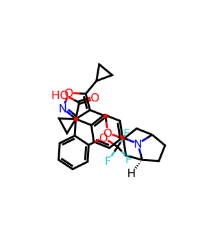 O=C(O)C1(c2ccc(N3C4CC[C@H]3CC(OCc3c(-c5ccccc5OC(F)(F)F)noc3C3CC3)C4)cc2)CC1